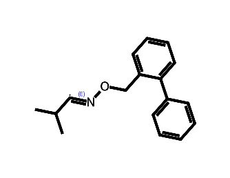 CC(C)/[C]=N/OCc1ccccc1-c1ccccc1